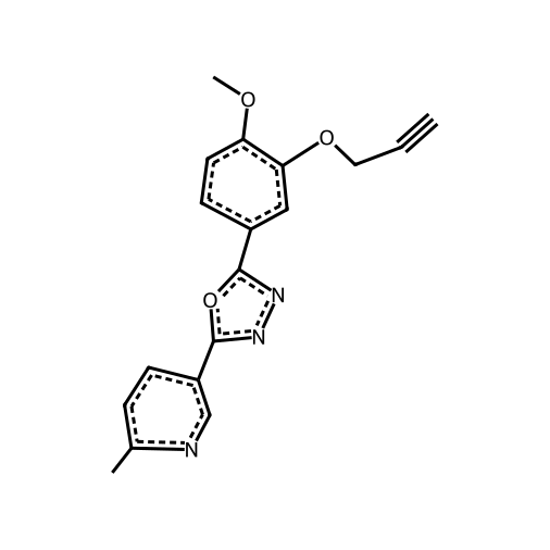 C#CCOc1cc(-c2nnc(-c3ccc(C)nc3)o2)ccc1OC